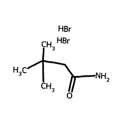 Br.Br.CC(C)(C)CC(N)=O